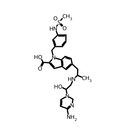 CC(Cc1ccc2c(c1)cc(C(=O)O)n2Cc1cccc(NS(C)(=O)=O)c1)NCC(O)N1C=CC(N)=NC1